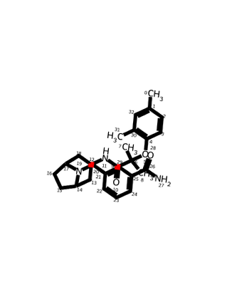 Cc1ccc(OC(C)(C)C(=O)NC2CC3CCC(C2)N3Cc2cccc(C(N)=O)c2)c(C)c1